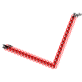 [O-]B([O-])[O-].[O-]B([O-])[O-].[O-]B([O-])[O-].[O-]B([O-])[O-].[O-]B([O-])[O-].[O-]B([O-])[O-].[O-]B([O-])[O-].[O-]B([O-])[O-].[O-]B([O-])[O-].[O-]B([O-])[O-].[O-]B([O-])[O-].[O-]B([O-])[O-].[O-]B([O-])[O-].[O-]B([O-])[O-].[O-]B([O-])[O-].[O-]B([O-])[O-].[O-]B([O-])[O-].[O-]B([O-])[O-].[O-]B([O-])[O-].[O-]B([O-])[O-].[O-]B([O-])[O-].[O-]B([O-])[O-].[O-]B([O-])[O-].[O-]B([O-])[O-].[O-]B([O-])[O-].[O-]B([O-])[O-].[O-]B([O-])[O-].[O-]B([O-])[O-].[O-]B([O-])[O-].[O-]B([O-])[O-].[Zn+2].[Zn+2].[Zn+2].[Zn+2].[Zn+2]